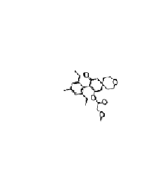 CCc1cc(C)cc(CC)c1C1=C(OC(=O)COC)CC2(CCOCC2)CC1=O